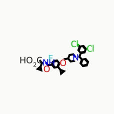 O=C(NC(C(=O)O)C1CC1)c1cc(C2CC2)c(OCC2CCN(C(c3ccccc3)c3cc(Cl)cc(Cl)c3)CC2)cc1F